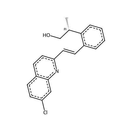 [CH2][C@@H](CO)c1ccccc1C=Cc1ccc2ccc(Cl)cc2n1